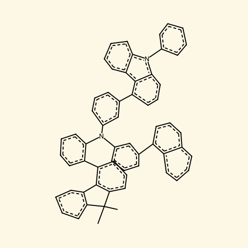 CC1(C)c2ccccc2-c2c(-c3ccccc3N(c3cccc(-c4cccc5ccccc45)c3)c3cccc(-c4cccc5c4c4ccccc4n5-c4ccccc4)c3)cccc21